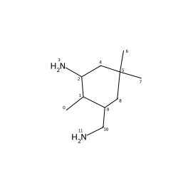 CC1C(N)CC(C)(C)CC1CN